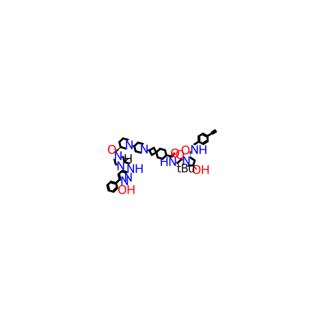 C#Cc1ccc(CNC(=O)[C@@H]2C[C@@H](O)CN2C(=O)[C@@H](NC(=O)C2CCC3(CC2)CC(N2CCC(N4CCC[C@H](C(=O)N5CCN6c7cc(-c8ccccc8O)nnc7NC[C@H]6C5)C4)CC2)C3)C(C)(C)C)cc1